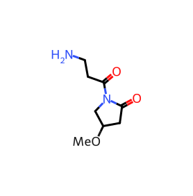 COC1CC(=O)N(C(=O)CCN)C1